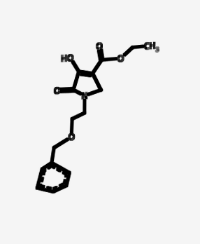 CCOC(=O)C1=C(O)C(=O)N(CCOCc2ccccc2)C1